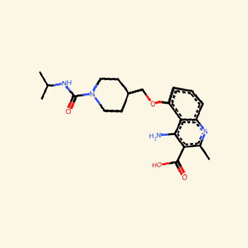 Cc1nc2cccc(OCC3CCN(C(=O)NC(C)C)CC3)c2c(N)c1C(=O)O